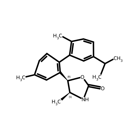 Cc1ccc(-c2cc(C(C)C)ccc2C)c([C@H]2OC(=O)N[C@H]2C)c1